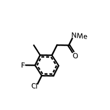 CNC(=O)Cc1ccc(Cl)c(F)c1C